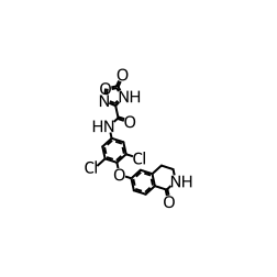 O=C(Nc1cc(Cl)c(Oc2ccc3c(c2)CCNC3=O)c(Cl)c1)c1noc(=O)[nH]1